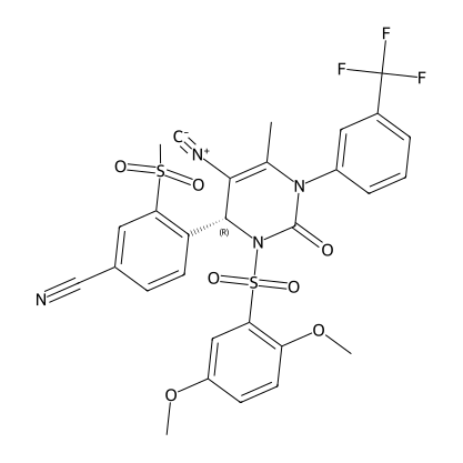 [C-]#[N+]C1=C(C)N(c2cccc(C(F)(F)F)c2)C(=O)N(S(=O)(=O)c2cc(OC)ccc2OC)[C@@H]1c1ccc(C#N)cc1S(C)(=O)=O